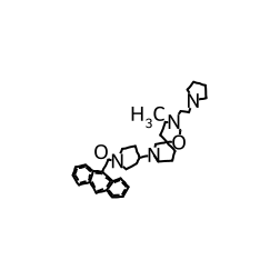 CC1CC2(CCCN(C3CCN(C(=O)c4c5ccccc5cc5ccccc45)CC3)C2)OCN1CCN1CCCC1